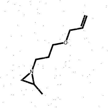 C=CCOCCCN1CC1C